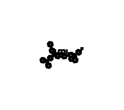 CC1(C)c2cc(-c3ccc4c5c3ccc3cccc(c35)n4-c3ccc(F)cc3)ccc2-c2ccc(N(c3ccc(-c4ccccc4)cc3)c3ccc(N(c4ccccc4)c4ccccc4)cc3)cc21